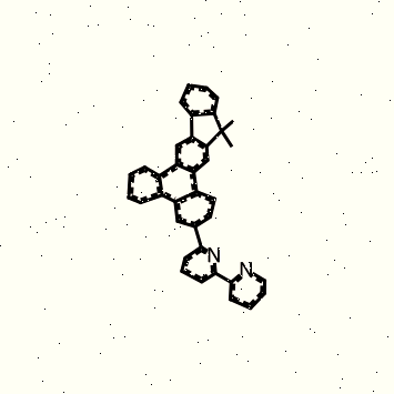 CC1(C)c2ccccc2-c2cc3c4ccccc4c4cc(-c5cccc(-c6ccccn6)n5)ccc4c3cc21